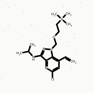 C=Cc1cc(Cl)nc2c(NC(C)C)nn(COCC[Si](C)(C)C)c12